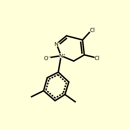 Cc1cc(C)cc([N+]2([O-])CC(Cl)=C(Cl)C=N2)c1